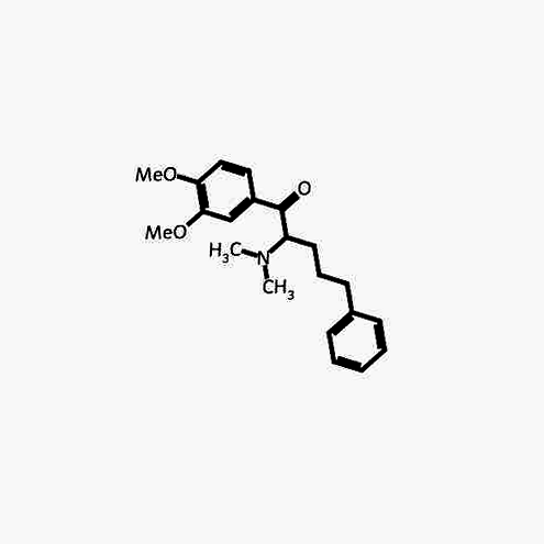 COc1ccc(C(=O)C(CCCc2ccccc2)N(C)C)cc1OC